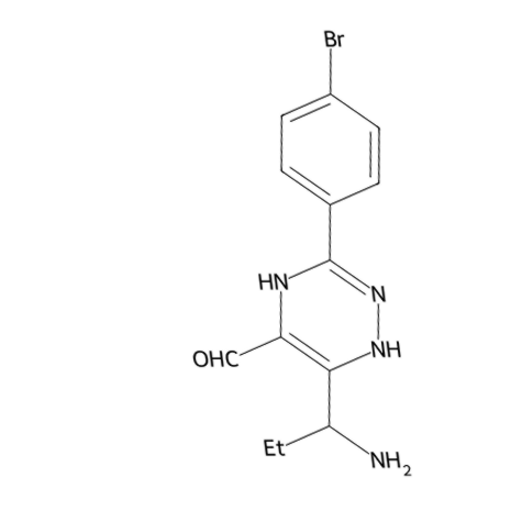 CCC(N)C1=C(C=O)NC(c2ccc(Br)cc2)=NN1